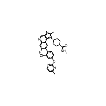 Cc1ccnc(Oc2ccc(-c3cc4c(cc3F)ncc3nc(C)n([C@H]5CC[C@H](C(N)=O)CC5)c34)c(Cl)c2)n1